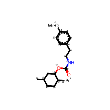 COc1ccc(CCNC(=O)OC2CC(C)CCC2C(C)C)cc1